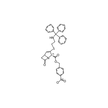 O=C(OCc1ccc([N+](=O)[O-])cc1)[C@@H]1C(SCCNC(c2ccccc2)(c2ccccc2)c2ccccc2)=CC2CC(=O)N21